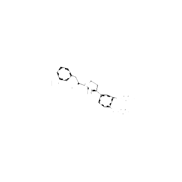 COc1ccc(C2=NN(C(=O)Cc3cccc(O)c3)CC2)cc1OC